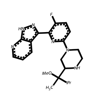 COC(C)(C(C)C)C1CN(c2ccc(F)c(-c3n[nH]c4ncccc34)n2)CCN1